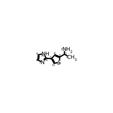 CC(N)c1cc(-c2ncc[nH]2)cs1